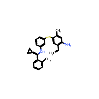 C=Cc1cc(Sc2cccc(NC(=C3CC3)c3ccccc3C)c2)c(C)cc1N